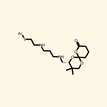 CC(=O)SCCNCCCNC[C@@H]1OC2(CCCC(=O)O2)OCC1(C)C